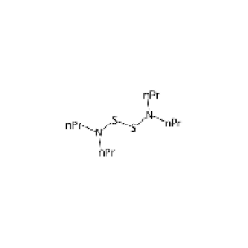 CCCN(CCC)SSN(CCC)CCC